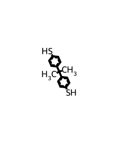 CC(C)(c1ccc(S)cc1)c1ccc(S)cc1